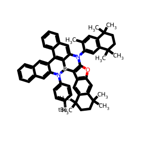 Cc1cc2c(cc1N1c3cc4ccccc4c4c3B(c3c1oc1cc5c(cc31)C(C)(C)CCC5(C)C)N(c1ccc(C(C)(C)C)cc1)c1cc3ccccc3cc1-4)C(C)(C)CCC2(C)C